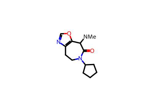 CNC1C(=O)N(C2CCCC2)CCc2ncoc21